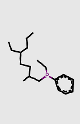 CCCC(CC)CCC(C)CP(CC)c1ccccc1